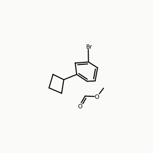 Brc1cccc(C2CCC2)c1.COC=O